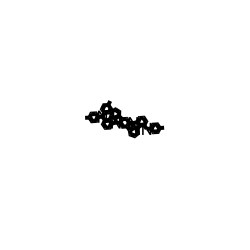 Cc1ccc(Nc2cccc3c2c2cccc4c5c(n3c42)CC2C(=C5)n3c4cccc(N(C5=CCC(C)C=C5)c5ccc(C)cc5)c4c4cccc2c43)cc1